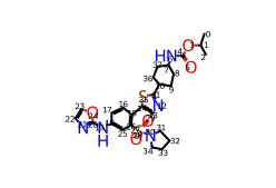 CC(C)OC(=O)NC1CCC(c2ncc(-c3ccc(Nc4ncco4)cc3S(=O)(=O)N3CCCC3)s2)CC1